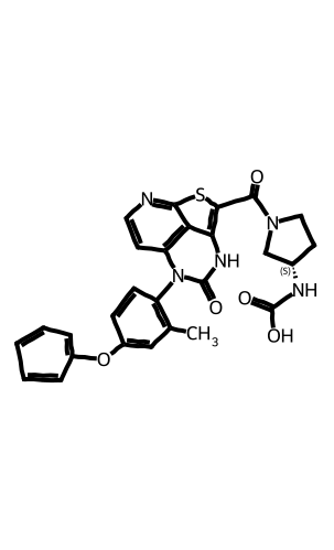 Cc1cc(Oc2ccccc2)ccc1N1C(=O)Nc2c(C(=O)N3CC[C@H](NC(=O)O)C3)sc3nccc1c23